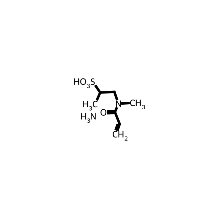 C=CC(=O)N(C)CC(C)S(=O)(=O)O.N